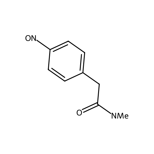 CNC(=O)Cc1ccc(N=O)cc1